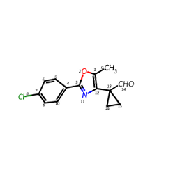 Cc1oc(-c2ccc(Cl)cc2)nc1C1(C=O)CC1